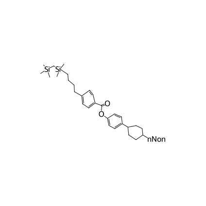 CCCCCCCCCC1CCC(c2ccc(OC(=O)c3ccc(CCCC[Si](C)(C)C[Si](C)(C)C)cc3)cc2)CC1